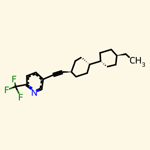 CC[C@H]1CC[C@H]([C@H]2CC[C@H](C#Cc3ccc(C(F)(F)F)nc3)CC2)CC1